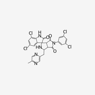 Cc1cnc(CC2NC3(C(=O)Nc4c(Cl)cc(Cl)cc43)C3C(=O)N(c4cc(Cl)cc(Cl)c4)C(=O)C23)cn1